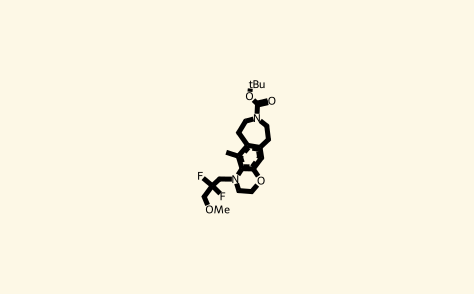 COCC(F)(F)CN1CCOc2cc3c(c(C)c21)CCN(C(=O)OC(C)(C)C)CC3